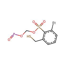 CCc1cccc(CS)c1S(=O)(=O)OCOP=O